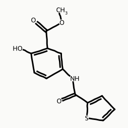 COC(=O)c1cc(NC(=O)c2cccs2)ccc1O